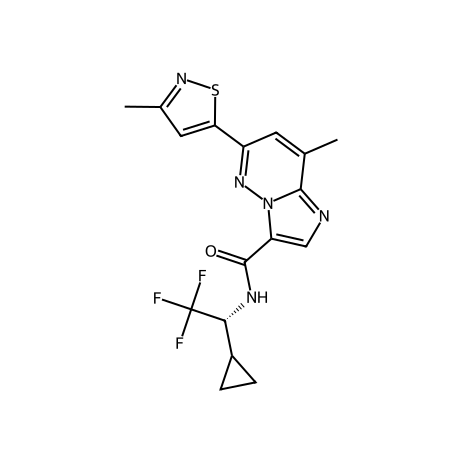 Cc1cc(-c2cc(C)c3ncc(C(=O)N[C@H](C4CC4)C(F)(F)F)n3n2)sn1